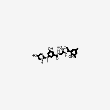 Cc1cc(C)c(O)c(C(CC(=O)O)NC(=O)CNC(=O)c2cc(O)cc(NC3=NCC(O)CN3)c2)c1